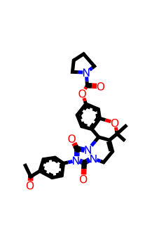 CC(=O)c1ccc(-n2c(=O)n3n(c2=O)C2C(=CC3)C(C)(C)Oc3cc(OC(=O)N4CCCC4)ccc32)cc1